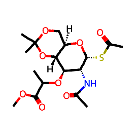 COC(=O)C(C)O[C@@H]1[C@@H](NC(C)=O)[C@@H](SC(C)=O)O[C@@H]2COC(C)(C)O[C@@H]12